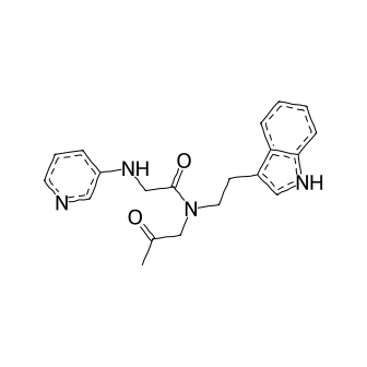 CC(=O)CN(CCc1c[nH]c2ccccc12)C(=O)CNc1cccnc1